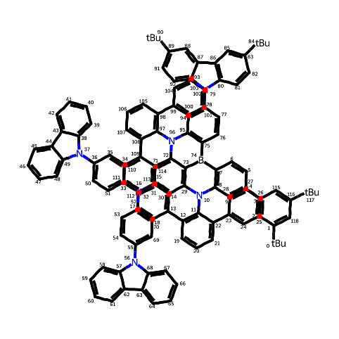 CC(C)(C)c1cc(-c2ccc3c(c2)N(c2c(-c4ccccc4)cccc2-c2ccccc2)c2cc(N(c4ccc(-n5c6ccccc6c6ccccc65)cc4)c4ccc(-n5c6ccccc6c6ccccc65)cc4)cc4c2B3c2ccc(-n3c5ccc(C(C)(C)C)cc5c5cc(C(C)(C)C)ccc53)cc2N4c2c(-c3ccccc3)cccc2-c2ccccc2)cc(C(C)(C)C)c1